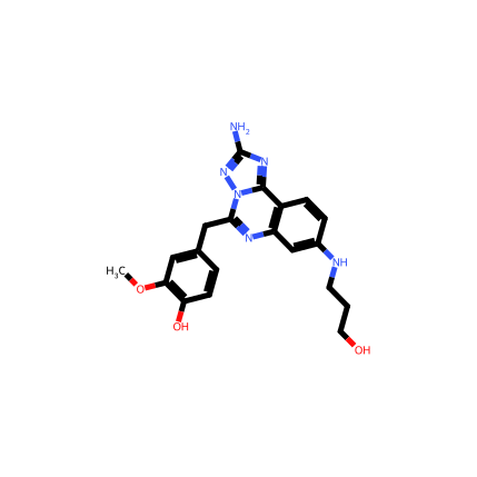 COc1cc(Cc2nc3cc(NCCCO)ccc3c3nc(N)nn23)ccc1O